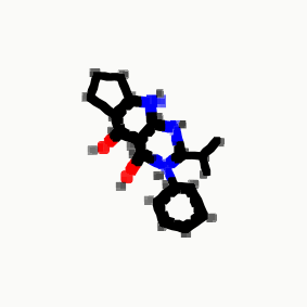 CC(C)c1nc2[nH]c3c(c(=O)c2c(=O)n1-c1ccccc1)CCC3